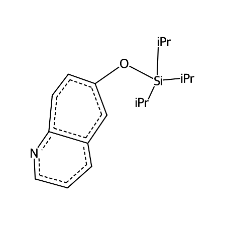 CC(C)[Si](Oc1ccc2ncccc2c1)(C(C)C)C(C)C